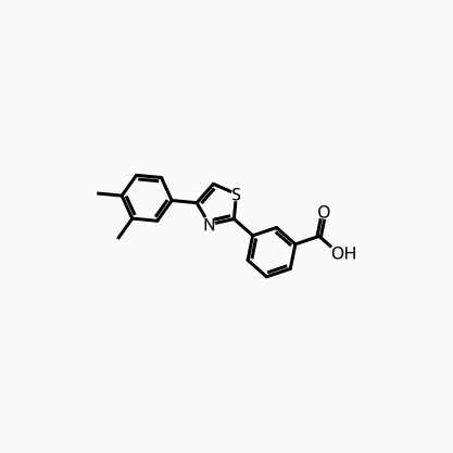 Cc1ccc(-c2csc(-c3cccc(C(=O)O)c3)n2)cc1C